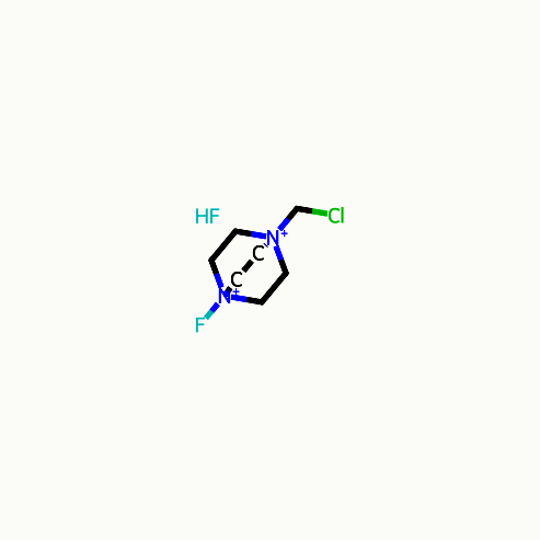 F.F[N+]12CC[N+](CCl)(CC1)CC2